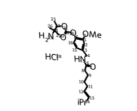 COc1cc(CNC(=O)CCCC/C=C/C(C)C)ccc1OC(=O)OC(C)C(C)(C)N.Cl